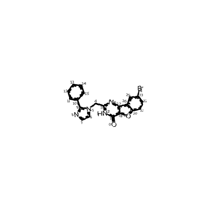 O=c1[nH]c(Cn2ccnc2-c2ccccc2)nc2c1oc1ccc(Br)cc12